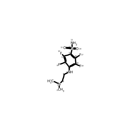 CN(C)CCNc1c(F)c(F)c(S(N)(=O)=O)c(F)c1F